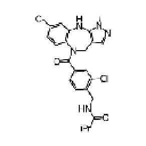 CC(C)C(=O)NCc1ccc(C(=O)N2Cc3cnn(C)c3Nc3cc(Cl)ccc32)cc1Cl